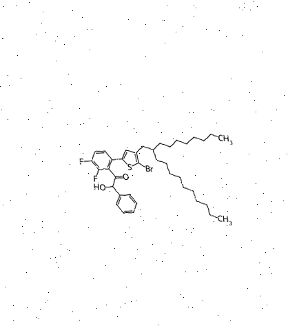 CCCCCCCCCCC(CCCCCCCC)Cc1cc(-c2ccc(F)c(F)c2C(=O)C(O)c2ccccc2)sc1Br